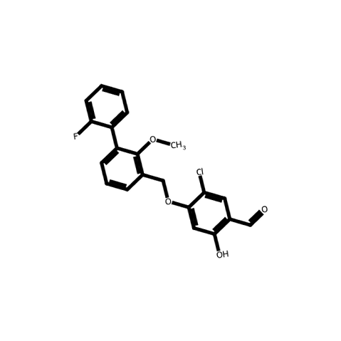 COc1c(COc2cc(O)c(C=O)cc2Cl)cccc1-c1ccccc1F